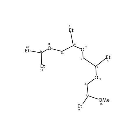 CCC(COC(CC)COC(CC)COC(CC)CC)OC